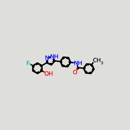 Cc1cccc(C(=O)Nc2ccc(-c3cc(-c4cc(F)ccc4O)n[nH]3)cc2)c1